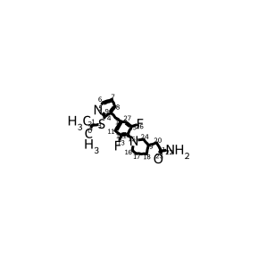 CC(C)Sc1ncccc1-c1cc(F)c(N2CCCC(CC(N)=O)C2)c(F)c1